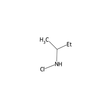 CCC(C)NCl